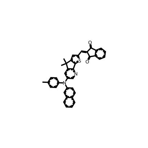 Cc1ccc(N(c2cnc3c(c2)C(C)(C)c2cc(C=C4C(=O)c5ccccc5C4=O)sc2-3)c2ccc3ccccc3c2)cc1